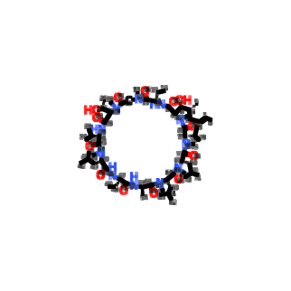 C/C=C/C[C@@H](C)[C@@H](O)[C@H]1C(=O)N[C@@H](CC)C(=O)N(C)CC(=O)N(C)[C@@H]([C@@H](C)O)C(=O)N[C@@H](C(C)C)C(=O)N(C)[C@@H](CC(C)C)C(=O)N[C@@H](CC)C(=O)N[C@H](C)C(=O)N(C)[C@@H](CC(C)C)C(=O)N(C)[C@@H](CC(C)C)C(=O)N(C)[C@@H](C(C)C)C(=O)N1C